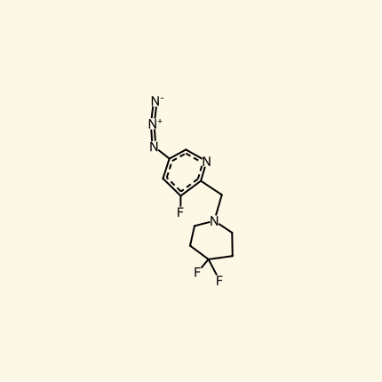 [N-]=[N+]=Nc1cnc(CN2CCC(F)(F)CC2)c(F)c1